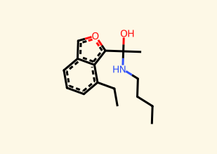 CCCCNC(C)(O)c1occ2cccc(CC)c12